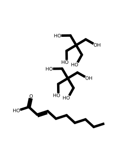 CCCCCCC=CC(=O)O.OCC(CO)(CO)CO.OCC(CO)(CO)CO